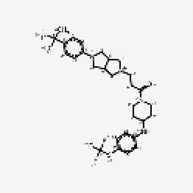 CC(C)(C)c1ccc(N2CC3CN(CCC(=O)N4CCC(Nc5ccc(SC(F)(F)F)cc5)CC4)CC3C2)cc1